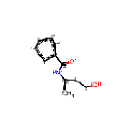 C[C@H](CCO)NC(=O)c1ccccc1